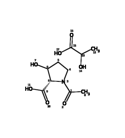 CC(=O)N1CCC(O)[C@H]1C(=O)O.CC(O)C(=O)O